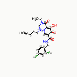 C#CCCCN1CN(CC)C(=O)c2c(O)c(=O)c(C(=O)NCc3ccc(F)cc3F)cn21